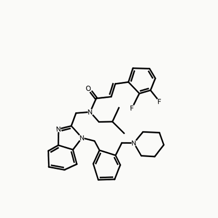 CC(C)CN(Cc1nc2ccccc2n1Cc1ccccc1CN1CCCCC1)C(=O)C=Cc1cccc(F)c1F